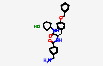 Cl.NCc1ccc(C(=O)N[C@@H](Cc2ccc(OCc3ccccc3)cc2)C(=O)NC2CCCCC2)cc1